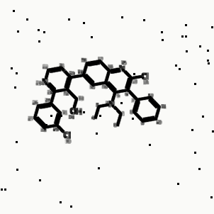 CCN(CC)c1c(-c2ccccc2)c(Cl)nc2ccc(-c3ccnc(-c4cccc(Cl)c4)c3CO)cc12